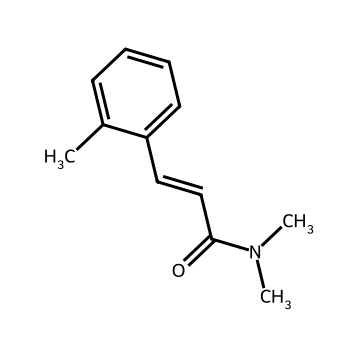 Cc1ccccc1C=CC(=O)N(C)C